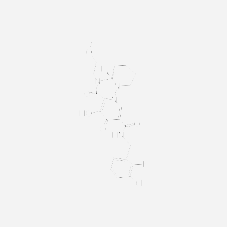 COC[C@@H](C)N1C(=O)c2c(O)c(=O)c(C(=O)NCc3cccc(Cl)c3F)cn2N2CCCC[C@@H]12